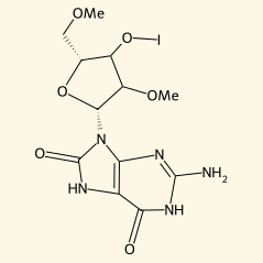 COC[C@H]1O[C@@H](n2c(=O)[nH]c3c(=O)[nH]c(N)nc32)C(OC)C1OI